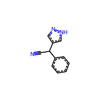 N#CC(c1ccccc1)c1cn[nH]c1